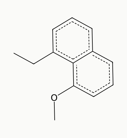 CCc1cccc2cccc(OC)c12